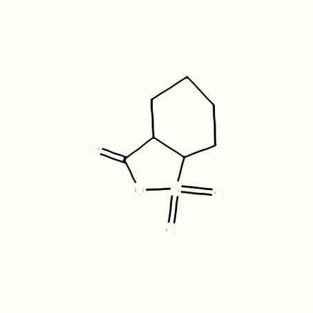 O=C1OS(=O)(=O)C2CCCCC12